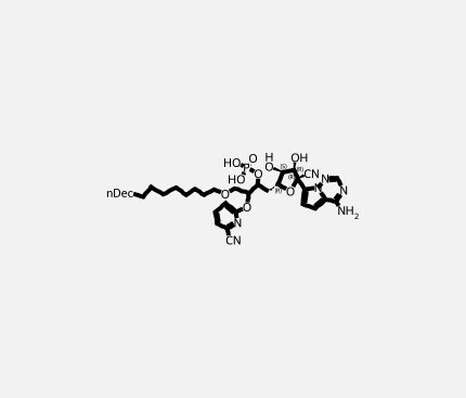 CCCCCCCCCCCCCCCCCCOCC(Oc1cccc(C#N)n1)C(C[C@H]1O[C@@](C#N)(c2ccc3c(N)ncnn23)[C@H](O)[C@@H]1O)OP(=O)(O)O